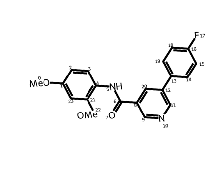 COc1ccc(NC(=O)c2cncc(-c3ccc(F)cc3)c2)c(OC)c1